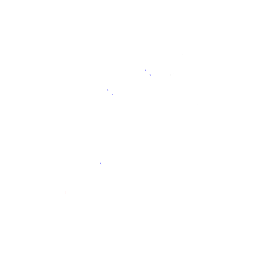 C=C(C)Nc1ncc(CN2CCOCC2C)s1